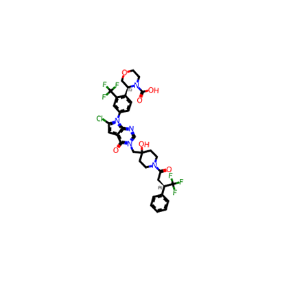 O=C(C[C@H](c1ccccc1)C(F)(F)F)N1CCC(O)(Cn2cnc3c(cc(Cl)n3-c3ccc([C@H]4COCCN4C(=O)O)c(C(F)(F)F)c3)c2=O)CC1